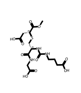 COC(=O)[C@@H](CC(=O)O)SC[C@H](NC(=O)NCCCC(=O)O)C(=O)NCC(=O)O